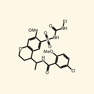 CCNC(=O)NS(=O)(=O)c1cc2c(cc1OC)OCCC2C(C)NC(=O)c1cc(Cl)ccc1OC